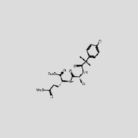 COC(=O)CC[C@@H](NC(=O)[C@@H](NC(=O)C(C)(C)c1ccc(Cl)cc1)C(C)C)C(=O)OC